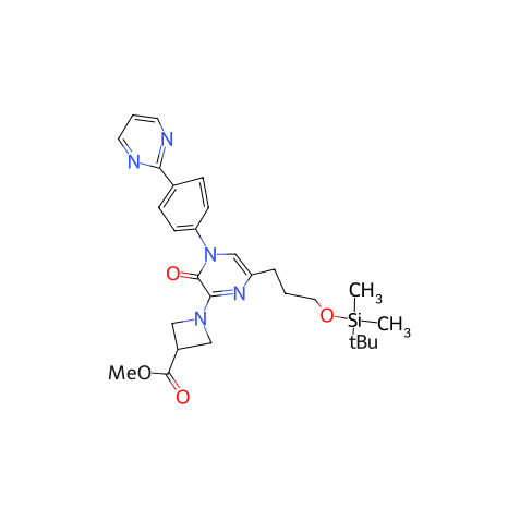 COC(=O)C1CN(c2nc(CCCO[Si](C)(C)C(C)(C)C)cn(-c3ccc(-c4ncccn4)cc3)c2=O)C1